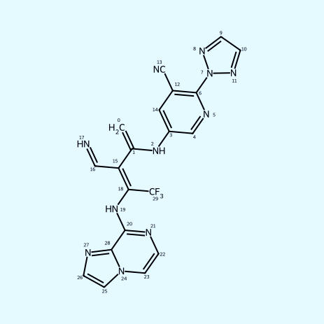 C=C(Nc1cnc(-n2nccn2)c(C#N)c1)/C(C=N)=C(/Nc1nccn2ccnc12)C(F)(F)F